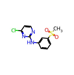 CS(=O)(=O)c1cccc(Nc2nccc(Cl)n2)c1